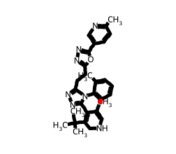 CC1=CNCC(C(C)(C)C)=C1c1nnc(CCc2nnc(-c3ccc(C)nc3)o2)n1-c1ccccc1C